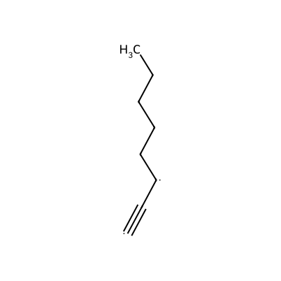 [C]#C[CH]CCCCC